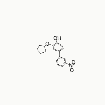 O=[N+]([O-])c1cccc(-c2ccc(O)c(OC3CCCC3)c2)c1